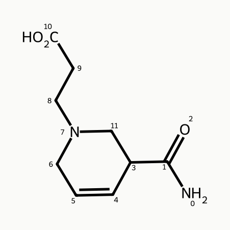 NC(=O)C1C=CCN(CCC(=O)O)C1